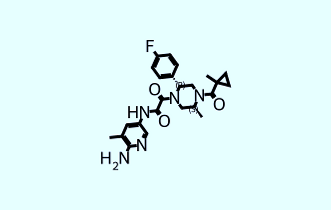 Cc1cc(NC(=O)C(=O)N2C[C@H](C)N(C(=O)C3(C)CC3)C[C@H]2c2ccc(F)cc2)cnc1N